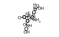 Nc1nc(O[C@H](c2ccc(Cl)cc2-c2cccc(C(=O)N[C@H]3CC[C@H](O)CC3)c2)C(F)(F)F)cc(N2CCC3(CC2)CNC(C(=O)O)C3)n1